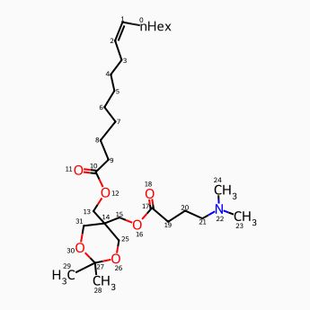 CCCCCC/C=C\CCCCCCCC(=O)OCC1(COC(=O)CCCN(C)C)COC(C)(C)OC1